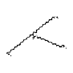 CCCCCCCCCCCCCCCCC(CCCCCCCCCCCCCC)C(=O)OCCCCCCCCCCCCCC